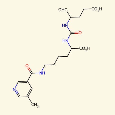 Cc1cncc(C(=O)NCCCCC(NC(=O)NC(C=O)CCC(=O)O)C(=O)O)c1